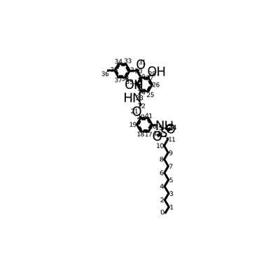 CCCCCCCCCCCCS(=O)(=O)Nc1cccc(OCNc2ccc(O)c(C(=O)c3ccc(C)cc3O)c2)c1